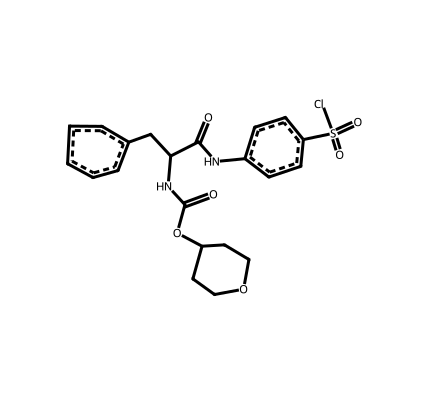 O=C(NC(Cc1ccccc1)C(=O)Nc1ccc(S(=O)(=O)Cl)cc1)OC1CCOCC1